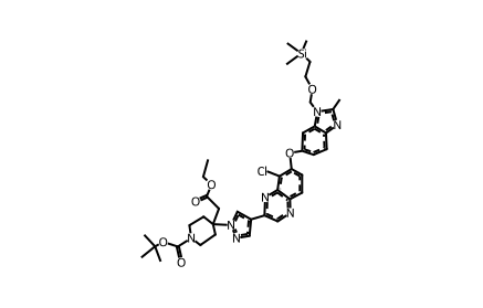 CCOC(=O)CC1(n2cc(-c3cnc4ccc(Oc5ccc6nc(C)n(COCC[Si](C)(C)C)c6c5)c(Cl)c4n3)cn2)CCN(C(=O)OC(C)(C)C)CC1